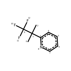 CC(C)(c1ccccn1)C(F)(F)F